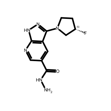 NNC(=O)c1cnc2[nH]nc(N3CC[C@H](F)C3)c2c1